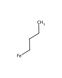 CCC[CH2][Fe]